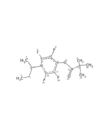 CCC(C)c1c(F)c(F)c(OC(=O)C(C)(C)C)c(F)c1F